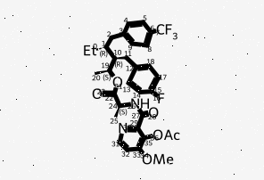 CC[C@H](Cc1ccc(C(F)(F)F)cc1)[C@@H](Cc1ccc(F)cc1)[C@H](C)OC(=O)[C@H](C)NC(=O)c1nccc(OC)c1OC(C)=O